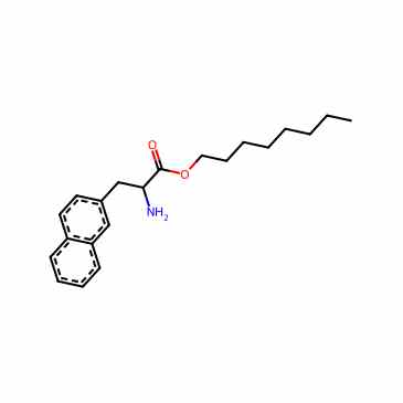 CCCCCCCCOC(=O)C(N)Cc1ccc2ccccc2c1